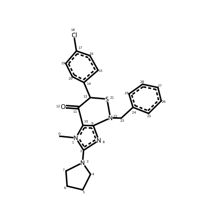 Cn1c(N2CCCC2)nc2c1C(=O)C(c1ccc(Cl)cc1)SN2Cc1ccccc1